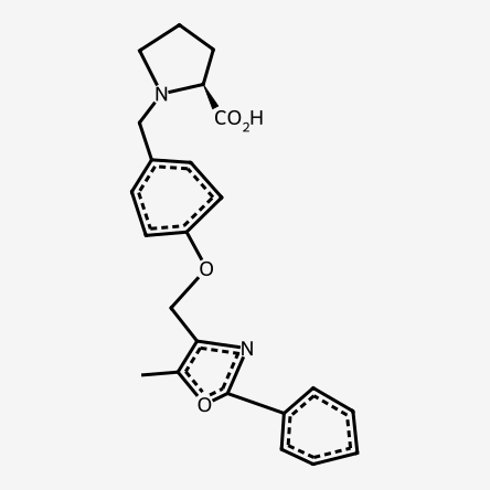 Cc1oc(-c2ccccc2)nc1COc1ccc(CN2CCC[C@H]2C(=O)O)cc1